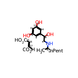 CCCCC[C@@H](C)NC[C@H](O)c1cc(O)cc(O)c1.O=C(O)C=CC(=O)O